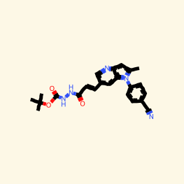 Cc1cc2ncc(/C=C/C(=O)NNC(=O)OC(C)(C)C)cc2n1-c1ccc(C#N)cc1